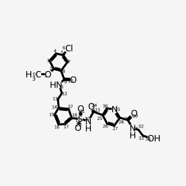 COc1ccc(Cl)cc1C(=O)NCCc1cccc(S(=O)(=O)NC(=O)c2ccc(C(=O)NCCO)nc2)c1